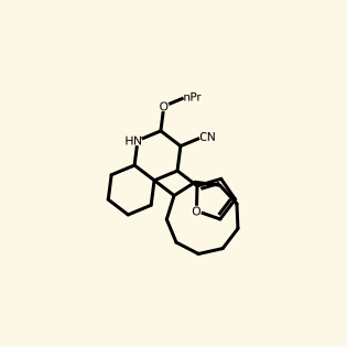 CCCOC1NC2CCCCC2(C2CCCCCCCC2)C(c2ccco2)C1C#N